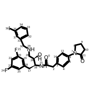 O=C(Cc1ccc(N2CCCC2=O)cc1)N[C@@H](Cc1cc(F)cc(F)c1)[C@H](O)CNCc1cccc(I)c1